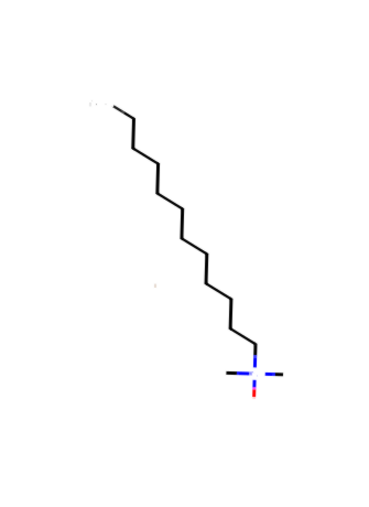 CCCCCCCCCCCCCCCCCCCC[N+](C)(C)O.[Br-]